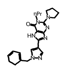 CCCn1c(N2CCCC2)nc2nc(-c3cnn(CC4=CC=CCC4)c3)[nH]c2c1=O